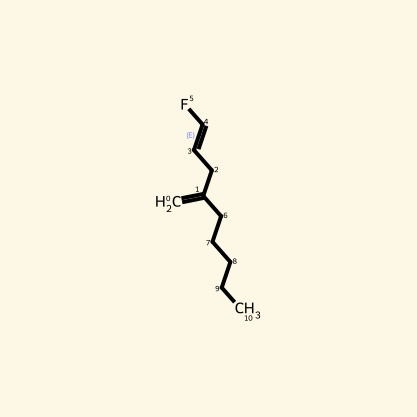 C=C(C/C=C/F)CCCCC